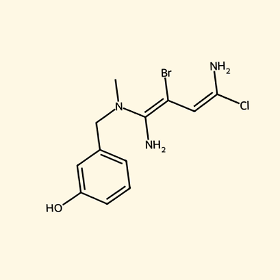 CN(Cc1cccc(O)c1)/C(N)=C(Br)/C=C(\N)Cl